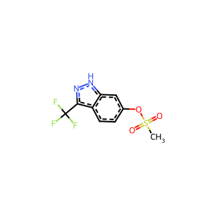 CS(=O)(=O)Oc1ccc2c(C(F)(F)F)n[nH]c2c1